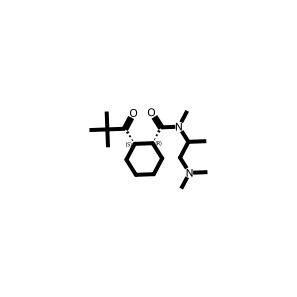 CC(CN(C)C)N(C)C(=O)[C@@H]1CCCC[C@@H]1C(=O)C(C)(C)C